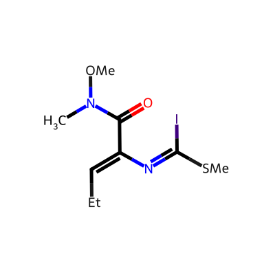 CC/C=C(\N=C(/I)SC)C(=O)N(C)OC